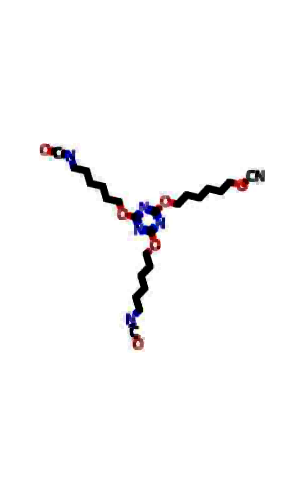 N#COCCCCCCOc1nc(OCCCCCCN=C=O)nc(OCCCCCCN=C=O)n1